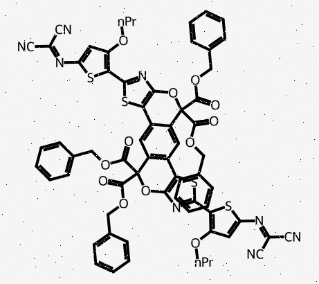 CCCOc1cc(N=C(C#N)C#N)sc1-c1nc2c(s1)-c1cc3c(cc1C(C(=O)OCc1ccccc1)(C(=O)OCc1ccccc1)O2)-c1sc(-c2sc(N=C(C#N)C#N)cc2OCCC)nc1OC3(C(=O)OCc1ccccc1)C(=O)OCc1ccccc1